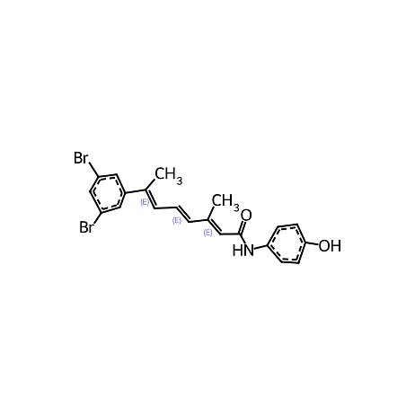 CC(/C=C/C=C(\C)c1cc(Br)cc(Br)c1)=C\C(=O)Nc1ccc(O)cc1